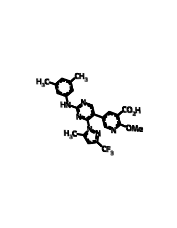 COc1ncc(-c2cnc(Nc3cc(C)cc(C)c3)nc2-n2nc(C(F)(F)F)cc2C)cc1C(=O)O